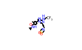 Cc1cc(-c2cnc3c(NCCC(F)(F)F)nc(C#CCN4CCS(=O)(=O)CC4)cn23)ccc1C(=O)NC1CC1